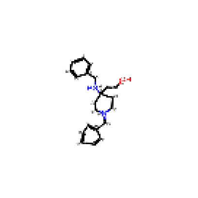 OCCC1(NCc2ccccc2)CCN(Cc2ccccc2)CC1